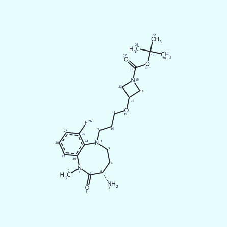 CN1C(=O)[C@@H](N)CCN(CCCOC2CN(C(=O)OC(C)(C)C)C2)c2c(F)cccc21